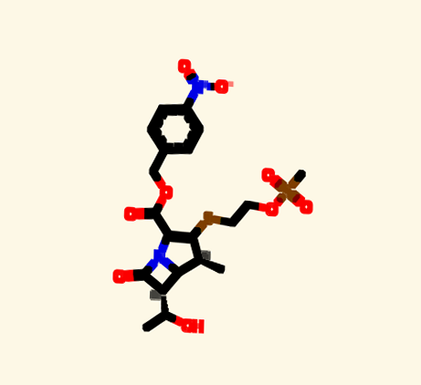 CC(O)[C@@H]1C(=O)N2C(C(=O)OCc3ccc([N+](=O)[O-])cc3)=C(SCCOS(C)(=O)=O)[C@@H](C)C12